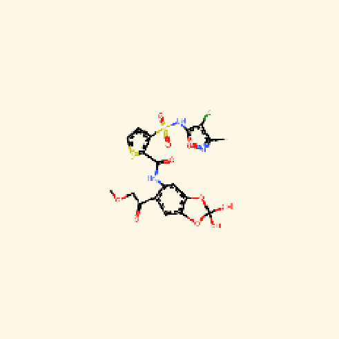 COCC(=O)c1cc2c(cc1NC(=O)c1sccc1S(=O)(=O)Nc1onc(C)c1Cl)OC(O)(O)O2